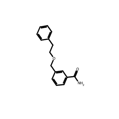 NC(=O)c1cccc(COC[CH]c2ccccc2)c1